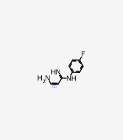 N=C(/C=C\N)Nc1ccc(F)cc1